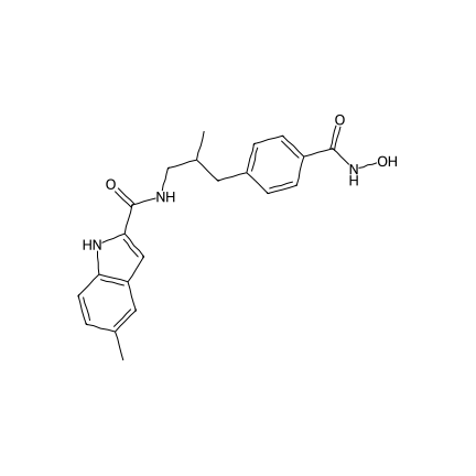 Cc1ccc2[nH]c(C(=O)NCC(C)Cc3ccc(C(=O)NO)cc3)cc2c1